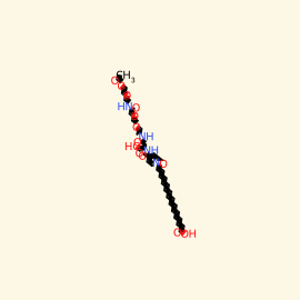 CC(=O)COCCOCCNC(=O)COCCOCCNC(=O)C[C@@H](NC(=O)C1CCN(C(=O)CCCCCCCCCCCCCCCCCCC(=O)O)CC1)C(=O)O